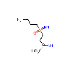 N=S(=O)(CCCC(F)(F)F)CC[C@H](N)C(=O)O